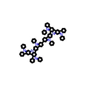 c1ccc(-n2c3cc(-c4ccc5c6cc7c8c9c(cc%10c%11cc%12c%13ccccc%13n(-c%13ccccc%13)c%12cc%11n(c7cc6n(-c6ccccc6)c5c4)c%108)c4ccccc4n9-c4ccccc4)ccc3c3cc4c5cc6c(c7ccccc7n6-c6ccccc6)c6c7cc8c9ccccc9n(-c9ccccc9)c8cc7n(c4cc32)c56)cc1